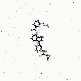 NCc1cc(C(=O)Nc2cccc3c(-c4ccnc(NC(=O)C5CC5)c4)c[nH]c23)ccn1